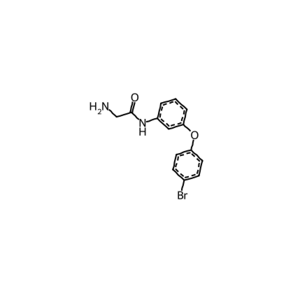 NCC(=O)Nc1cccc(Oc2ccc(Br)cc2)c1